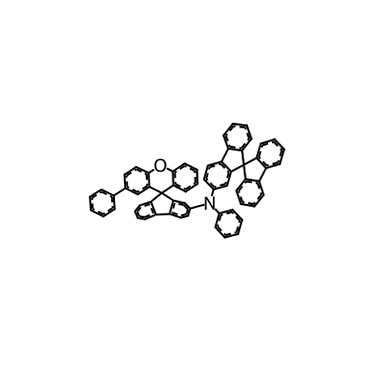 c1ccc(-c2ccc3c(c2)C2(c4ccccc4O3)c3ccccc3-c3ccc(N(c4ccccc4)c4ccc5c(c4)C4(c6ccccc6-c6ccccc64)c4ccccc4-5)cc32)cc1